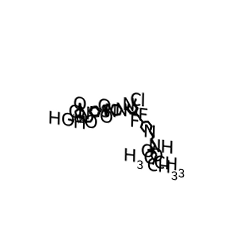 CC(C)(C)OC(=O)NCCN1CCC(C(F)(F)c2cc(Cl)nc(N3CCN(S(=O)(=O)c4ccc5c(c4)OC[C@@H]4[C@H](CO)OC(=O)N54)CC3)c2)CC1